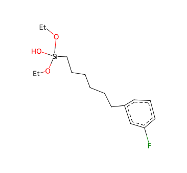 CCO[Si](O)(CCCCCCc1cccc(F)c1)OCC